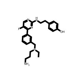 CCN(CCCN)Cc1cccc(-c2nc(NCCc3ccc(O)cc3)ncc2F)c1